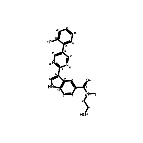 CN(CCO)C(=O)c1ccc2[nH]cc(-c3ncc(-c4ccccc4F)cn3)c2c1